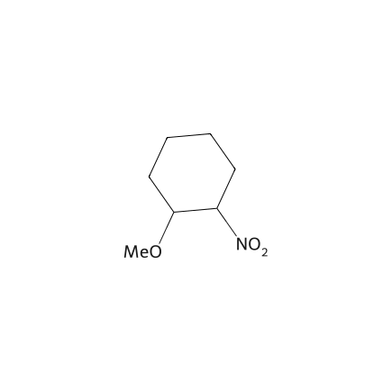 COC1CCCCC1[N+](=O)[O-]